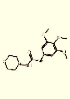 COc1cc(NC(=O)NN2CCOCC2)cc(OC)c1OC